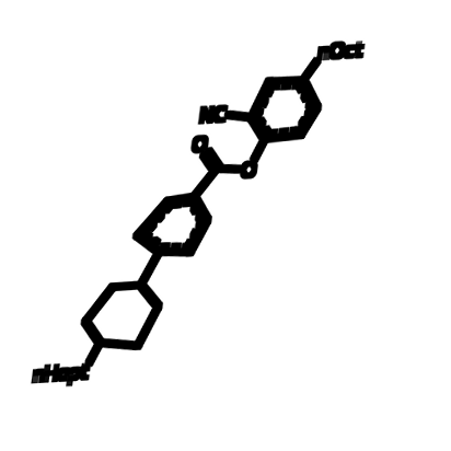 CCCCCCCCc1ccc(OC(=O)c2ccc(C3CCC(CCCCCCC)CC3)cc2)c(C#N)c1